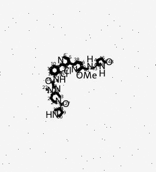 COc1nc(-c2ccnc(-c3cccc(NC(=O)c4nc5c(n4C)CCN(C(=O)[C@H]4CCNC4)C5)c3Cl)c2Cl)ccc1CNC[C@H]1CCC(=O)N1